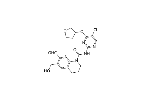 O=Cc1nc2c(cc1CO)CCCN2C(=O)Nc1ncc(Cl)c(OC2CCOC2)n1